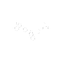 C1=CC2=NCCC(C3=CCC(c4nc(-c5ccc(-c6ccnc7ccccc67)cc5)cc5ccccc45)C=C3)=C2CC1